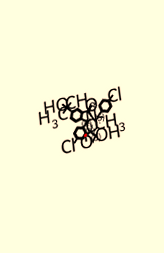 C[C@@H](c1ccc(Cl)cc1)N1C(=O)c2cc(C(C)(C)O)ccc2[C@]1(O[C@@H]1COC[C@@H]1O)c1ccc(Cl)cc1